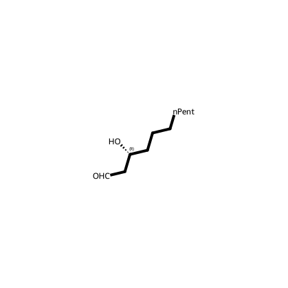 CCCCCCCC[C@@H](O)CC=O